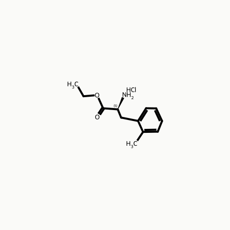 CCOC(=O)[C@@H](N)Cc1ccccc1C.Cl